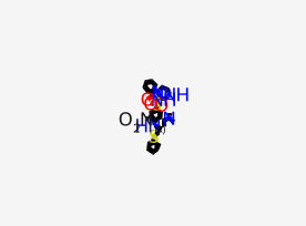 CN(C)CC[C@H](CSc1ccccc1)Nc1ccc(S(=O)(=O)NC(=O)C2(N3CCNCC3)C=CC=CC2)cc1[N+](=O)[O-]